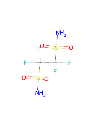 NS(=O)(=O)C(F)(F)C(F)(F)S(N)(=O)=O